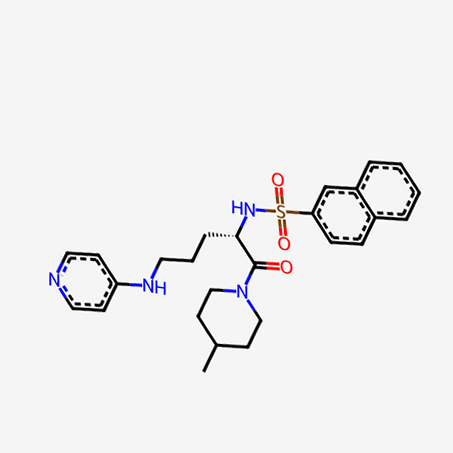 CC1CCN(C(=O)[C@H](CCCNc2ccncc2)NS(=O)(=O)c2ccc3ccccc3c2)CC1